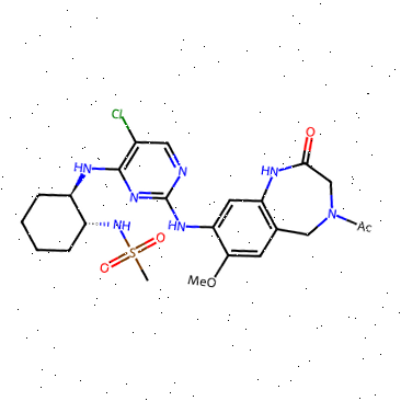 COc1cc2c(cc1Nc1ncc(Cl)c(N[C@@H]3CCCC[C@H]3NS(C)(=O)=O)n1)NC(=O)CN(C(C)=O)C2